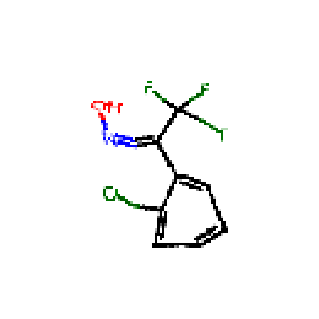 ON=C(c1ccccc1Cl)C(F)(F)F